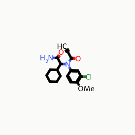 C#CC(=O)N(c1ccc(OC)c(Cl)c1)C(C(N)=O)C1CCCCC1